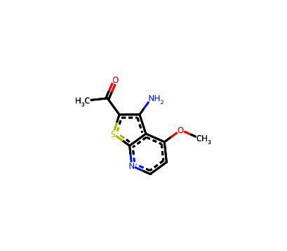 COc1ccnc2sc(C(C)=O)c(N)c12